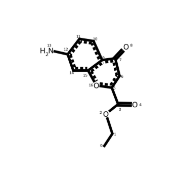 CCOC(=O)c1cc(=O)c2ccc(N)cc2o1